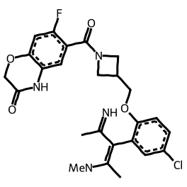 CN/C(C)=C(\C(C)=N)c1cc(Cl)ccc1OCC1CN(C(=O)c2cc3c(cc2F)OCC(=O)N3)C1